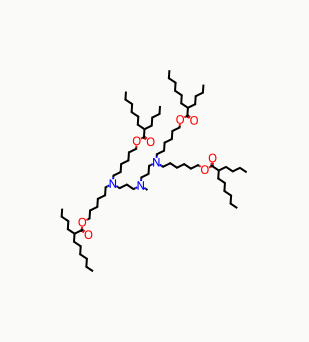 CCCCCCC(CCCC)C(=O)OCCCCCCN(CCCCCCOC(=O)C(CCCC)CCCCCC)CCCN(C)CCCN(CCCCCCOC(=O)C(CCCC)CCCCCC)CCCCCCOC(=O)C(CCCC)CCCCCC